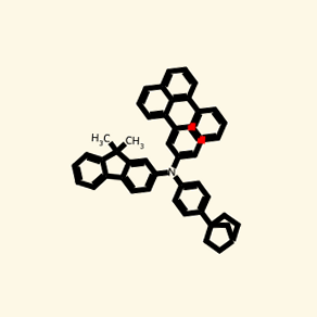 CC1(C)c2ccccc2-c2ccc(N(c3ccc(C45CCC(CC4)C5)cc3)c3cccc(-c4cccc5cccc(-c6ccccc6)c45)c3)cc21